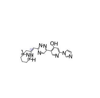 C[C@@]12CCC[C@@H](C/C(=C\c3ncc(-c4cnc(-n5ccnc5)cc4O)nn3)C1)N2